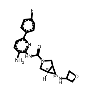 Nc1ccc(-c2ccc(F)cc2)nc1NC(=O)N1CC2[C@H](C1)[C@H]2NC1COC1